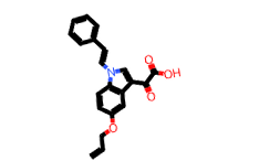 C=CCOc1ccc2c(c1)c(C(=O)C(=O)O)cn2C=Cc1ccccc1